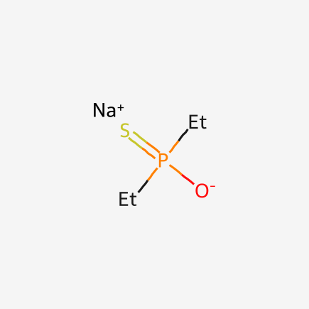 CCP([O-])(=S)CC.[Na+]